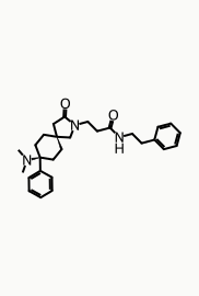 CN(C)[C@]1(c2ccccc2)CC[C@@]2(CC1)CC(=O)N(CCC(=O)NCCc1ccccc1)C2